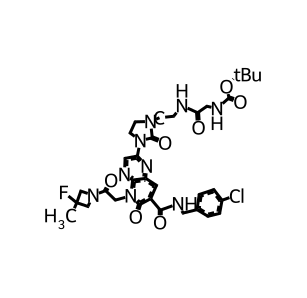 CC1(F)CN(C(=O)Cn2c(=O)c(C(=O)NCc3ccc(Cl)cc3)cc3nc(N4CCN(CCNC(=O)CNC(=O)OC(C)(C)C)C4=O)cnc32)C1